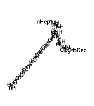 CCCCCCCCCCCCCCCC(=O)N[C@@H](CCC(=O)NCCCC[C@H](NC(=O)CC/C(=C/NCCCCCCC)N=N)C(=O)NCCOCCOCCOCCOCCOCCOCCOCCOCCOCCOCCOCCOCCC(=O)CCC)C(=O)O